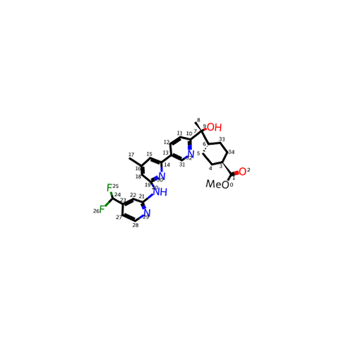 [CH2]OC(=O)[C@H]1CC[C@H]([C@@](C)(O)c2ccc(-c3cc(C)cc(Nc4cc(C(F)F)ccn4)n3)cn2)CC1